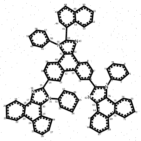 c1ccc(-n2c(-c3ccc4c(c3)c3cc(-c5nc6c7ccccc7c7ccccc7c6n5-c5ccccc5)ccc3c3c4nc(-c4cccc5ccccc45)n3-c3ccccc3)nc3c4ccccc4c4ccccc4c32)cc1